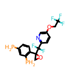 FC(F)(F)COc1ccc(C(F)(F)C2(c3ccc(P)cc3P)CO2)nc1